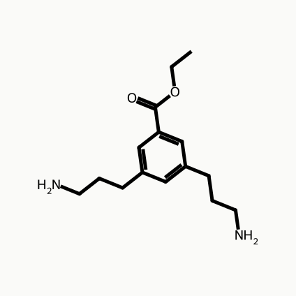 CCOC(=O)c1cc(CCCN)cc(CCCN)c1